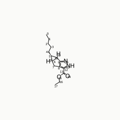 CCCCC[C@@H]1[C@@H]2Cc3c(n[nH]c3C(=O)OCC)[C@H]12